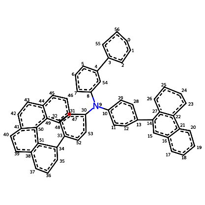 c1ccc(-c2cccc(N(c3ccc(-c4cc5ccccc5c5ccccc45)cc3)c3ccc(-c4cccc5ccc6ccc7ccccc7c6c45)cc3)c2)cc1